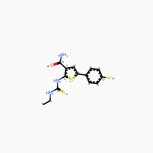 CCNC(=S)Nc1sc(-c2ccc(F)cc2)cc1C(N)=O